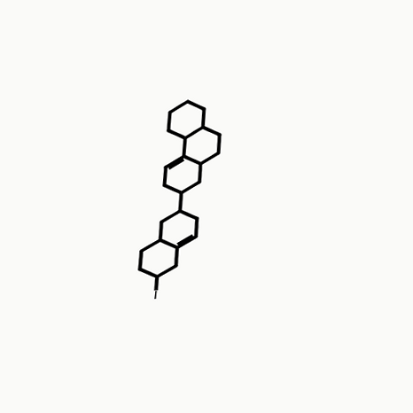 IC1CCC2CC(C3CC=C4C(CCC5CCCCC45)C3)CC=C2C1